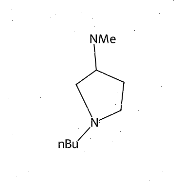 CCCCN1CCC(NC)C1